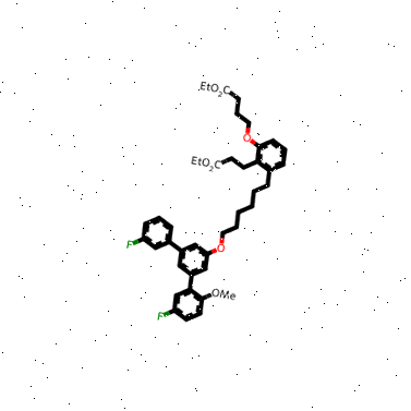 CCOC(=O)CCCOc1cccc(CCCCCCOc2cc(-c3cccc(F)c3)cc(-c3cc(F)ccc3OC)c2)c1CCC(=O)OCC